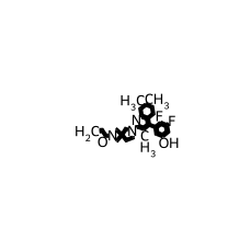 C=CC(=O)N1CC2(CCN(c3nc4c(c(-c5cc(O)cc(F)c5F)c3C)CCC(C)(C)C4)C2)C1